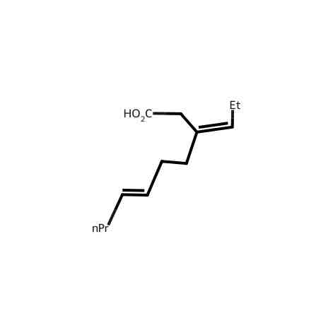 CCC=C(CCC=CCCC)CC(=O)O